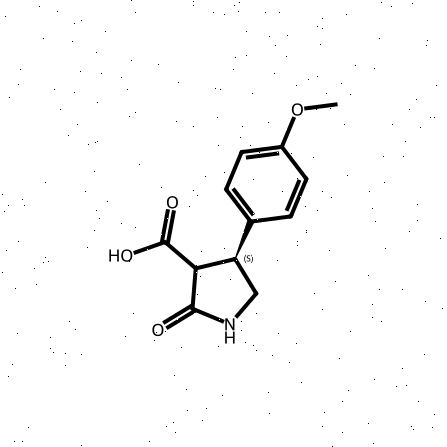 COc1ccc([C@H]2CNC(=O)C2C(=O)O)cc1